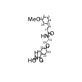 COc1cccc(C=CC(=O)NCCOc2ccc(C(=O)NO)cc2)c1